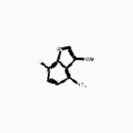 CSc1c[nH]c2c(F)ccc([N+](=O)[O-])c12